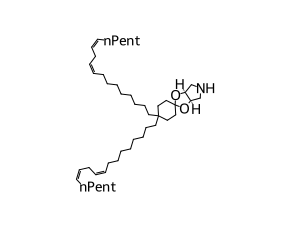 CCCCC/C=C\C/C=C\CCCCCCCCC1(CCCCCCCC/C=C\C/C=C\CCCCC)CCC2(CC1)O[C@H]1CNC[C@H]1O2